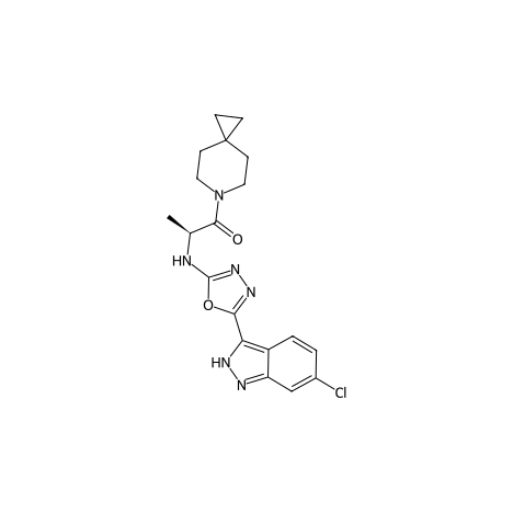 C[C@H](Nc1nnc(-c2[nH]nc3cc(Cl)ccc23)o1)C(=O)N1CCC2(CC1)CC2